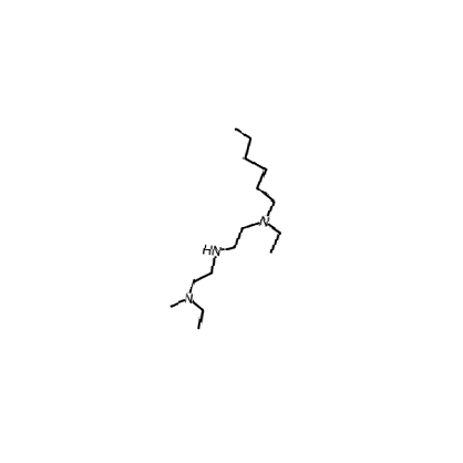 CCCCCCN(CC)CCNCCN(C)CC